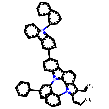 C=Cc1c(/C=C\C)n(-c2ccccc2)c2c1ccc1c3cc(-c4ccc5c(c4)c4ccccc4n5-c4cccc5ccccc45)ccc3n(-c3cccc(-c4ccccc4)c3)c12